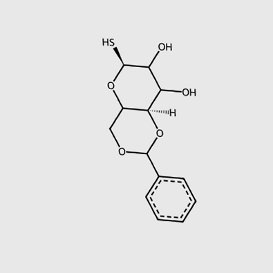 OC1C(O)[C@H](S)OC2COC(c3ccccc3)O[C@@H]21